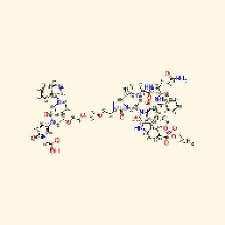 CCOP(=O)(OCC)C(=O)c1ccc2[nH]c(C(=O)N[C@H]3CN(C(=O)NCCOCCOCCOCCN(C(=O)[C@H]4CCCN(c5cncc6ccccc56)C4)c4ccc(=O)n(CC(=O)O)c4)CC[C@H]4CC[C@@H](C(=O)N[C@@H](CCC(N)=O)C(=O)NC(c5ccccc5)c5ccccc5)N4C3=O)cc2c1